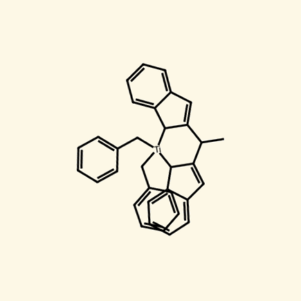 CC1C2=Cc3ccccc3[CH]2[Ti]([CH2]c2ccccc2)([CH2]c2ccccc2)[CH]2C1=Cc1ccccc12